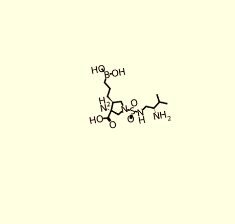 CC(C)[C@H](N)CNS(=O)(=O)N1C[C@H](CCCB(O)O)[C@](N)(C(=O)O)C1